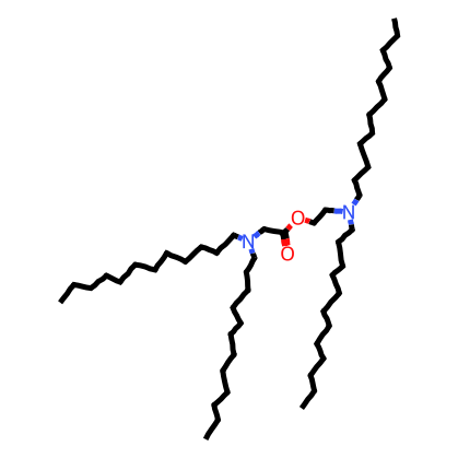 CCCCCCCCCCCCN(CCCCCCCCCCCC)CCOC(=O)CN(CCCCCCCCCCCC)CCCCCCCCCCCC